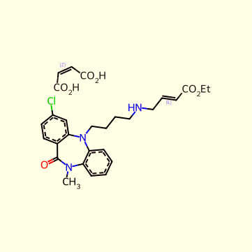 CCOC(=O)/C=C/CNCCCCN1c2cc(Cl)ccc2C(=O)N(C)c2ccccc21.O=C(O)/C=C\C(=O)O